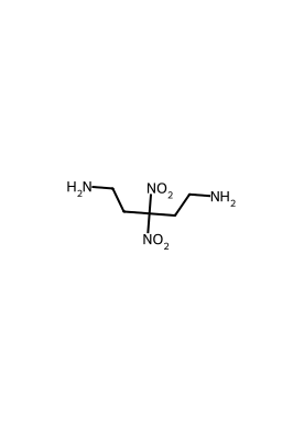 NCCC(CCN)([N+](=O)[O-])[N+](=O)[O-]